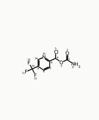 NC(=O)OC(Cl)c1ccc(C(F)(F)F)cn1